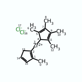 CC1=[C]([Zr+2][CH]2C(C)=C(C)C(C)=C2C)CC=C1.[Cl-].[Cl-]